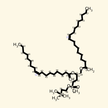 C=C(CCCCCCC/C=C\CCCCCCCC)OC[C@H](CCP(C)(=O)OCC[N+](C)(C)C)OC(=C)CCCCCCC/C=C\CCCCCCCC